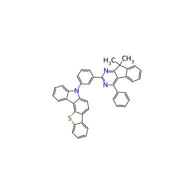 CC1(C)c2ccccc2-c2c(-c3ccccc3)nc(-c3cccc(-n4c5ccccc5c5c6sc7ccccc7c6ccc54)c3)nc21